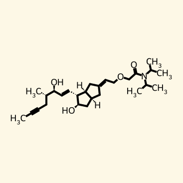 CC#CC[C@H](C)[C@@H](O)/C=C/[C@@H]1[C@H]2CC(=CCOCC(=O)N(C(C)C)C(C)C)C[C@H]2C[C@H]1O